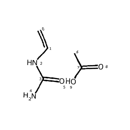 C=CNC(N)=O.CC(=O)O